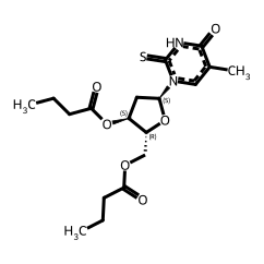 CCCC(=O)OC[C@H]1O[C@H](n2cc(C)c(=O)[nH]c2=S)C[C@@H]1OC(=O)CCC